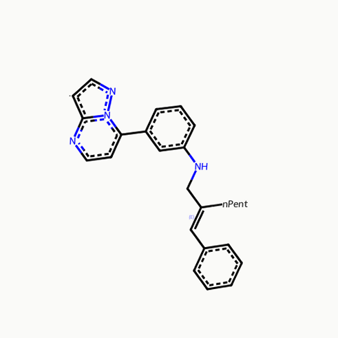 CCCCC/C(=C\c1ccccc1)CNc1cccc(-c2ccnc3[c]cnn23)c1